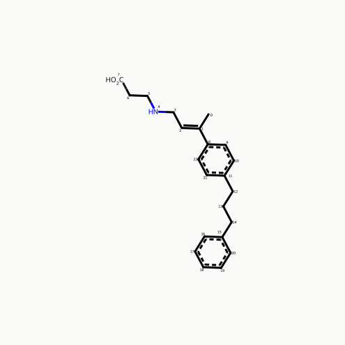 CC(=CCNCCC(=O)O)c1ccc(CCCc2ccccc2)cc1